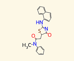 CN(C(=O)CC1SC(Nc2cccc3ccccc23)=NC1=O)c1ccccc1